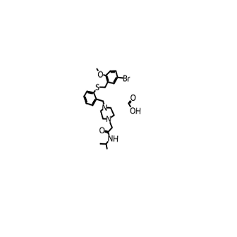 COc1ccc(Br)cc1CSc1ccccc1CN1CCN(CC(=O)NC(C)C)CC1.O=CO